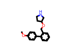 COc1ccc(-c2ccccc2COC2CCNC2)cc1